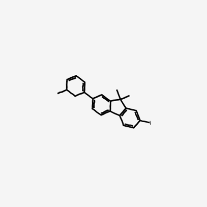 CC1C=CC=C(c2ccc3c(c2)C(C)(C)c2cc(I)ccc2-3)C1